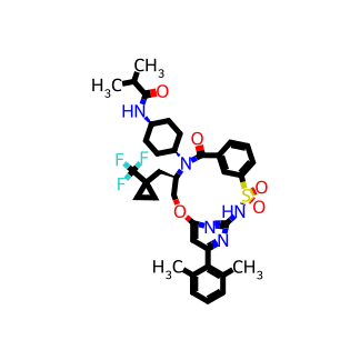 Cc1cccc(C)c1-c1cc2nc(n1)NS(=O)(=O)c1cccc(c1)C(=O)N([C@H]1CC[C@H](NC(=O)C(C)C)CC1)[C@H](CC1(C(F)(F)F)CC1)CO2